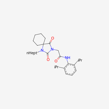 CCCCCCCN1C(=O)N(CC(=O)Nc2c(C(C)C)cccc2C(C)C)C(=O)C12CCCCC2